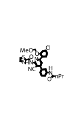 C[CH]CC(=O)Nc1cccc(-c2cc(-c3ccc(Cl)cc3OCOC)nc(NC(=O)c3nccs3)c2C#N)c1